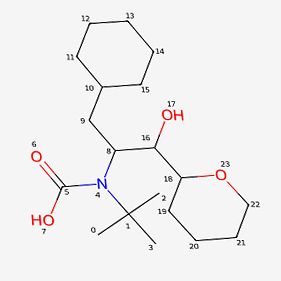 CC(C)(C)N(C(=O)O)C(CC1CCCCC1)C(O)C1CCCCO1